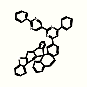 C1=Cc2ccc(-c3cc(-c4ccccc4)nc(-c4cnc(-c5ccccc5)nc4)n3)cc2C2(c3ccccc31)c1ccccc1-c1cc3oc4ccccc4c3cc12